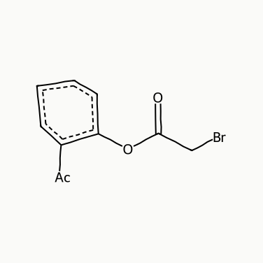 CC(=O)c1ccccc1OC(=O)CBr